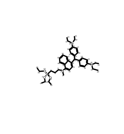 CCO[Si](CCCN(C)c1ccc(C(c2ccc(N(CC)CC)cc2)c2ccc(N(CC)CC)cc2)c2ccccc12)(OCC)OCC